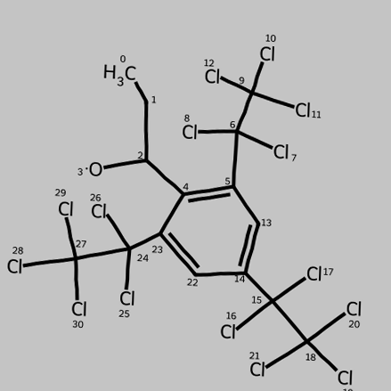 CCC([O])c1c(C(Cl)(Cl)C(Cl)(Cl)Cl)cc(C(Cl)(Cl)C(Cl)(Cl)Cl)cc1C(Cl)(Cl)C(Cl)(Cl)Cl